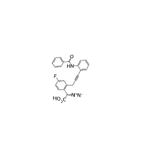 [N-]=[N+]=C(C(=O)O)c1ccc(F)cc1CC#Cc1ccccc1NC(=O)c1ccccc1